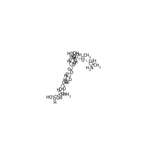 C=C1C[C@H](CC[C@]23OC([C@@H]4O[C@H]5CC[C@H](CC(=O)O[C@H]6CO[C@H]7C[C@H]8O[C@@H](C[C@@H]9O[C@@]%10(CC[C@@H]9O)C[C@H](N)[C@@H]9O[C@H]([C@@H](O)C[C@@H](O)CO)C[C@@H]9O%10)CC8OC7C6)O[C@@H]5[C@H](O2)[C@@H]4I)C(O)(O)[C@H]3O)O[C@H]1CC[C@H]1C[C@@H](N)C(=C)[C@@H](CC)O1